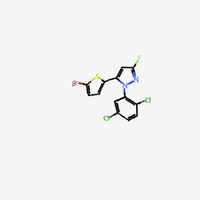 Fc1cc(-c2ccc(Br)s2)n(-c2cc(Cl)ccc2Cl)n1